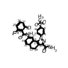 CS(=O)(=O)c1ccc(-n2nc(C(N)=O)c3c2-c2cc(NC(=O)c4c(F)cccc4Cl)ccc2CC3)cc1